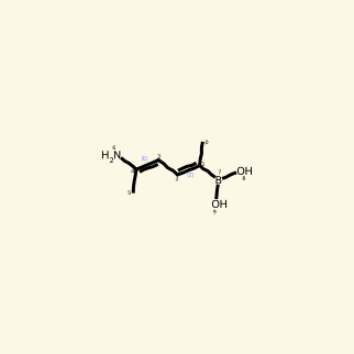 C/C(=C\C=C(/C)N)B(O)O